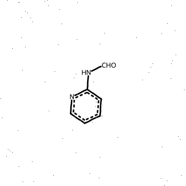 O=CNc1c[c]ccn1